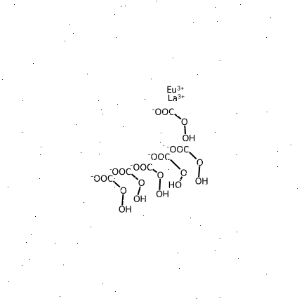 O=C([O-])OO.O=C([O-])OO.O=C([O-])OO.O=C([O-])OO.O=C([O-])OO.O=C([O-])OO.[Eu+3].[La+3]